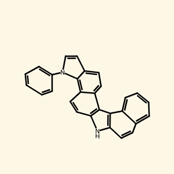 c1ccc(-n2ccc3ccc4c(ccc5[nH]c6ccc7ccccc7c6c54)c32)cc1